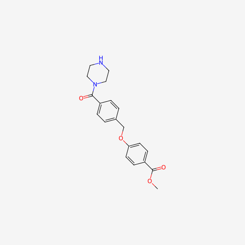 COC(=O)c1ccc(OCc2ccc(C(=O)N3CCNCC3)cc2)cc1